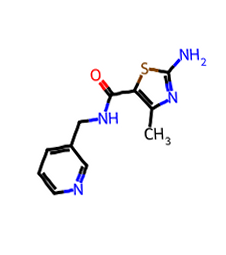 Cc1nc(N)sc1C(=O)NCc1cccnc1